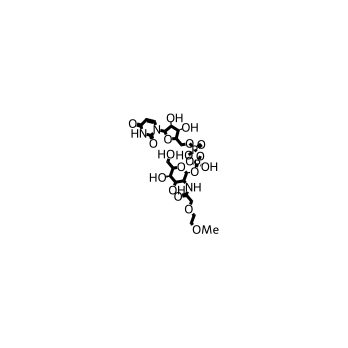 COCCOCC(=O)NC1C(O)[C@@H](O)C(CO)O[C@@H]1OP(=O)(O)OP(=O)(O)OCC1OC(n2ccc(=O)[nH]c2=O)[C@H](O)[C@@H]1O